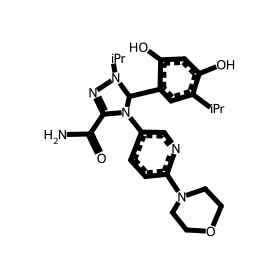 CC(C)c1cc(C2N(c3ccc(N4CCOCC4)nc3)C(C(N)=O)=NN2C(C)C)c(O)cc1O